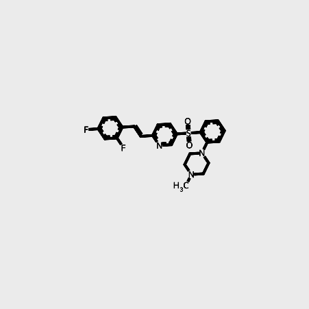 CN1CCN(c2ccccc2S(=O)(=O)c2ccc(/C=C/c3ccc(F)cc3F)nc2)CC1